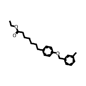 CCOC(=O)CCCCCCc1ccc(OCc2cccc(C)c2)cc1